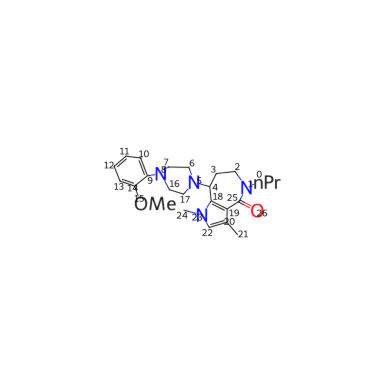 CCCN1CCC(N2CCN(c3ccccc3OC)CC2)c2c(c(C)cn2C)C1=O